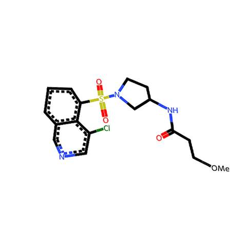 COCCC(=O)NC1CCN(S(=O)(=O)c2cccc3cncc(Cl)c23)C1